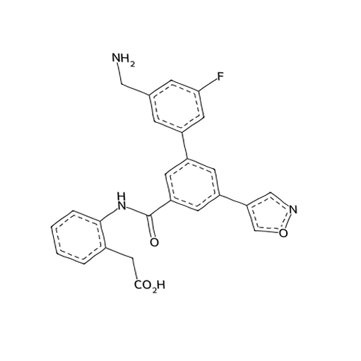 NCc1cc(F)cc(-c2cc(C(=O)Nc3ccccc3CC(=O)O)cc(-c3cnoc3)c2)c1